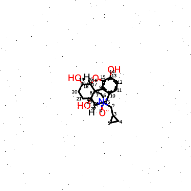 [O-][N+]1(CC2CC2)CC[C@]23c4c5ccc(O)c4O[C@H]2[C@@H](O)CC[C@@]3(O)[C@H]1C5